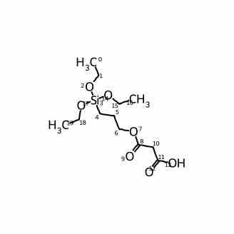 CCO[Si](CCCOC(=O)CC(=O)O)(OCC)OCC